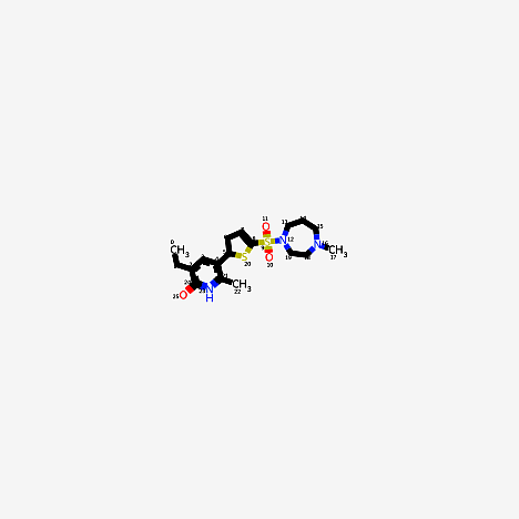 CCc1cc(C2CC=C(S(=O)(=O)N3CCCN(C)CC3)S2)c(C)[nH]c1=O